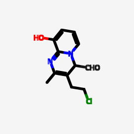 CC1=C(CCCl)C(C=O)N2C=CC=C(O)C2=N1